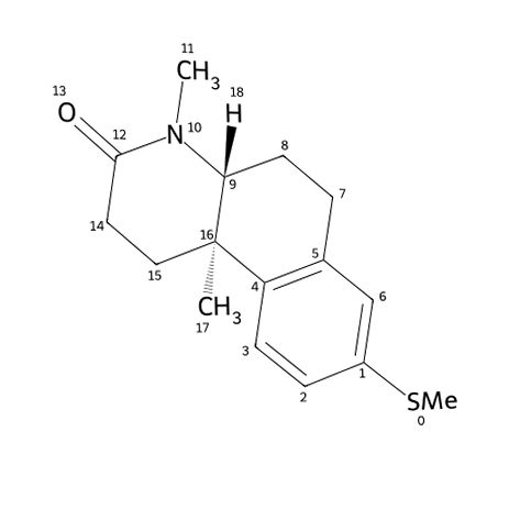 CSc1ccc2c(c1)CC[C@H]1N(C)C(=O)CC[C@]21C